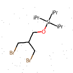 CC(C)[Si](OCC(CBr)CBr)(C(C)C)C(C)C